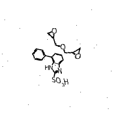 C(OCC1CO1)C1CO1.O=S(=O)(O)c1nc2cccc(-c3ccccc3)c2[nH]1